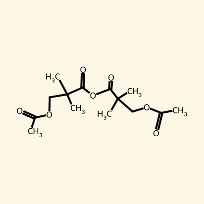 CC(=O)OCC(C)(C)C(=O)OC(=O)C(C)(C)COC(C)=O